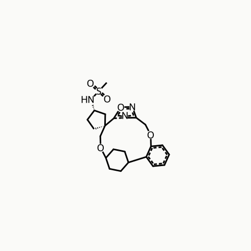 CS(=O)(=O)N[C@H]1CC[C@]2(COC3CCC(CC3)c3ccccc3OCc3noc2n3)C1